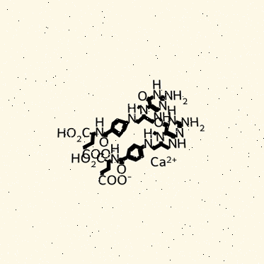 CN1c2c(nc(N)[nH]c2=O)NCC1CNc1ccc(C(=O)N[C@@H](CCC(=O)[O-])C(=O)O)cc1.CN1c2c(nc(N)[nH]c2=O)NCC1CNc1ccc(C(=O)N[C@@H](CCC(=O)[O-])C(=O)O)cc1.[Ca+2]